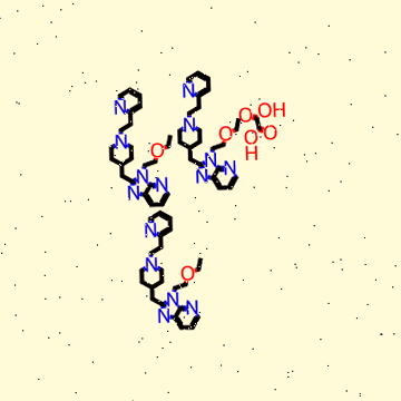 CCOCCn1c(CC2CCN(CCc3ccccn3)CC2)nc2cccnc21.CCOCCn1c(CC2CCN(CCc3ccccn3)CC2)nc2cccnc21.CCOCCn1c(CC2CCN(CCc3ccccn3)CC2)nc2cccnc21.O=C(O)C(=O)O